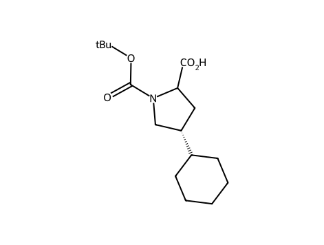 CC(C)(C)OC(=O)N1C[C@@H](C2CCCCC2)CC1C(=O)O